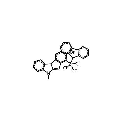 CN1C2=Cc3c(ccc(Br)[c]3[Zr]([SH])([Cl])([Cl])[CH]3c4ccccc4-c4ccccc43)C2c2ccccc21